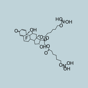 C[C@]12C=CC(=O)C=C1CCC1C3C[C@@H](O)[C@](OC(=O)CCCCCON(O)O)(C(=O)COC(=O)CCCCCON(O)O)[C@@]3(C)C[C@H](O)[C@@]12F